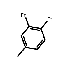 CCc1c[c]c(C)cc1CC